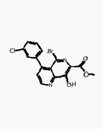 COC(=O)c1nc(Br)c2c(-c3cccc(Cl)c3)ccnc2c1O